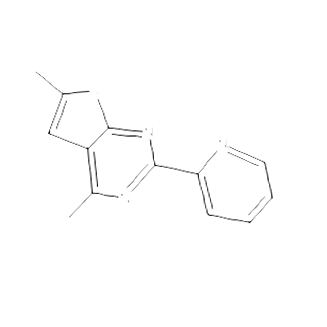 Cc1cc2c(Cl)nc(-c3ccccn3)nc2s1